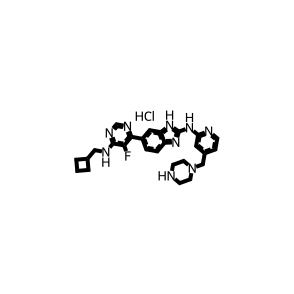 Cl.Fc1c(NCC2CCC2)ncnc1-c1ccc2nc(Nc3cc(CN4CCNCC4)ccn3)[nH]c2c1